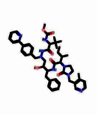 CCC(C)C(C(=O)NC(Cc1ccccc1)C(O)CN(Cc1ccc(-c2ccccn2)cc1)NC(=O)C(NC(=O)OC)C(C)(C)C)N1CCN(Cc2cnccc2C)C1=O